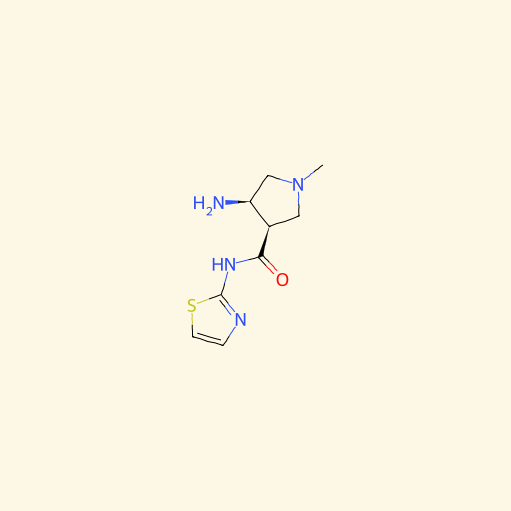 CN1C[C@H](N)[C@H](C(=O)Nc2nccs2)C1